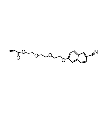 C=CC(=O)OCCOCCOCCOc1ccc2cc(C#N)ccc2c1